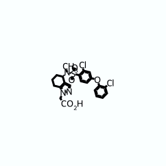 CN([C@@H]1CCCc2c1cnn2CC(=O)O)S(=O)(=O)c1ccc(Oc2ccccc2Cl)cc1Cl